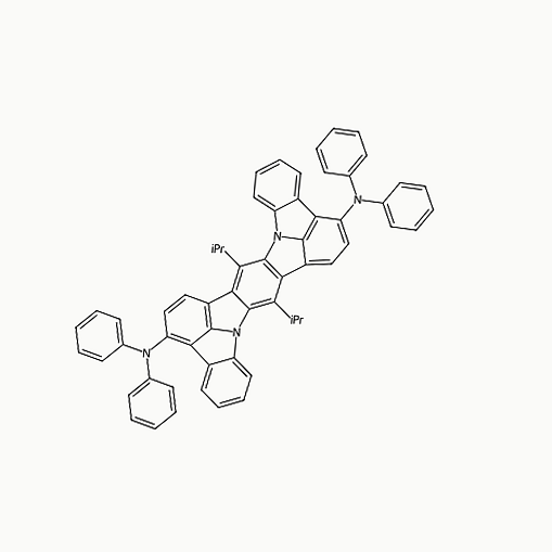 CC(C)c1c2c3ccc(N(c4ccccc4)c4ccccc4)c4c5ccccc5n(c2c(C(C)C)c2c5ccc(N(c6ccccc6)c6ccccc6)c6c7ccccc7n(c12)c56)c34